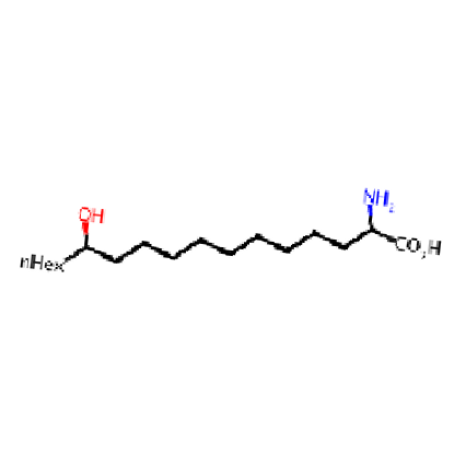 CCCCCCC(O)CCCCCCCCCC(N)C(=O)O